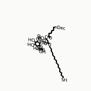 CCCCCCCCCCCCCCCC(=O)O[C@@H](COP(=O)(O)OC1C(O)[C@H](OP(=O)(O)O)C(O)[C@H](O)[C@@H]1O)CC(=O)OCCCCCCCCCCCCCCCCS